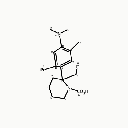 Cc1cc(C2(CCl)CCCCN2C(=O)O)c(C(C)C)cc1N(C)C